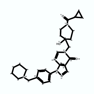 O=C(C1CC1)N1CCC(O)(Cn2cnc3c(cnn3-c3ccc(CN4CCCCC4)cc3)c2=O)CC1